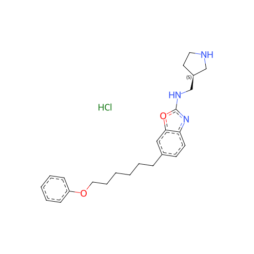 Cl.c1ccc(OCCCCCCc2ccc3nc(NC[C@H]4CCNC4)oc3c2)cc1